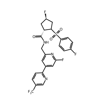 O=C(NCc1cc(-c2ccc(C(F)(F)F)cn2)cc(F)n1)[C@@H]1C[C@@H](F)CC1S(=O)(=O)c1ccc(F)cc1